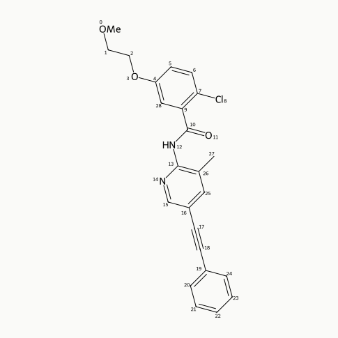 COCCOc1ccc(Cl)c(C(=O)Nc2ncc(C#Cc3ccccc3)cc2C)c1